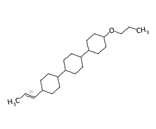 C/C=C/C1CCC(C2CCC(C3CCC(OCCC)CC3)CC2)CC1